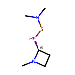 CN(C)SP[C@H]1CCN1C